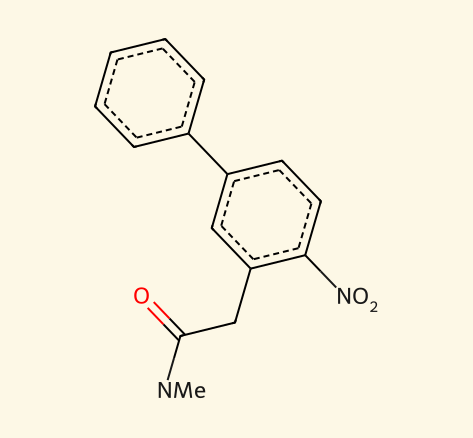 CNC(=O)Cc1cc(-c2ccccc2)ccc1[N+](=O)[O-]